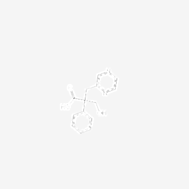 O=C(O)C(CO)(Cc1cnccn1)c1ccccc1